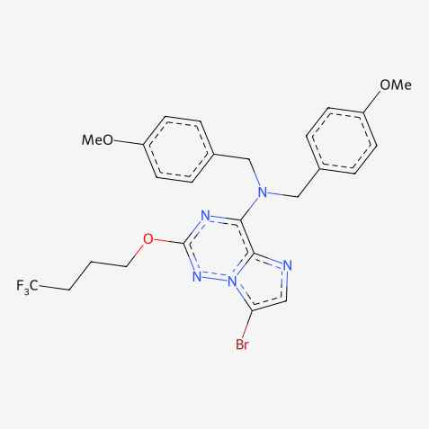 COc1ccc(CN(Cc2ccc(OC)cc2)c2nc(OCCCC(F)(F)F)nn3c(Br)cnc23)cc1